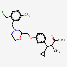 COC(=O)[C@@H](C)[C@H](c1cccc(OCC2CN(Cc3cc(C(F)(F)F)ccc3CF)CCO2)c1)C1CC1